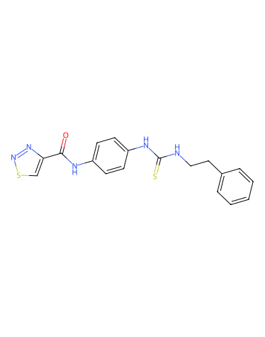 O=C(Nc1ccc(NC(=S)NCCc2ccccc2)cc1)c1csnn1